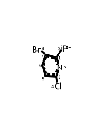 CC(C)c1nc(Cl)ccc1Br